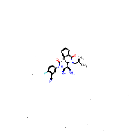 CC(C)CN1C(=O)c2ccccc2[C@@H](C(=O)Nc2ccc(F)c(C#N)c2)C1/C(C=N)=C/N